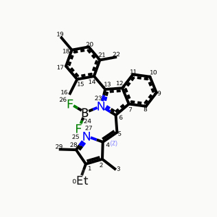 CCC1=C(C)/C(=C/c2c3ccccc3c(-c3c(C)cc(C)cc3C)n2B(F)F)N=C1C